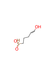 O=[SH](=O)CCCC=CO